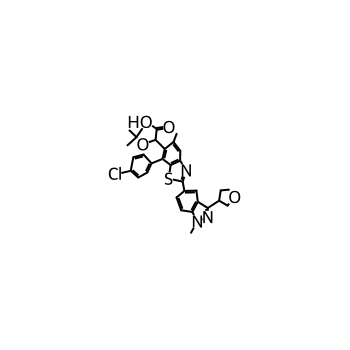 Cc1cc2nc(-c3ccc4c(c3)c(C3CCOC3)nn4C)sc2c(-c2ccc(Cl)cc2)c1C(OC(C)(C)C)C(=O)O